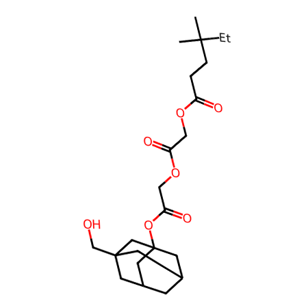 CCC(C)(C)CCC(=O)OCC(=O)OCC(=O)OC12CC3CC(CC(CO)(C3)C1)C2